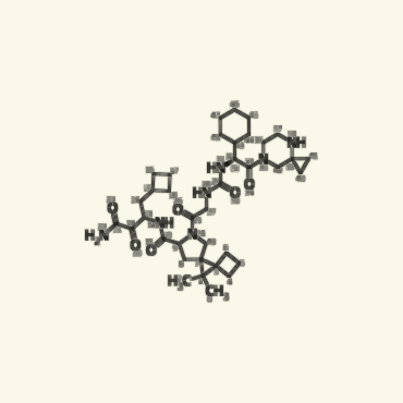 CC1(C)C2(CCC2)C12CC(C(=O)NC(CC1CCC1)C(=O)C(N)=O)N(C(=O)CNC(=O)N[C@H](C(=O)N1CCNC3(CC3)C1)C1CCCCC1)C2